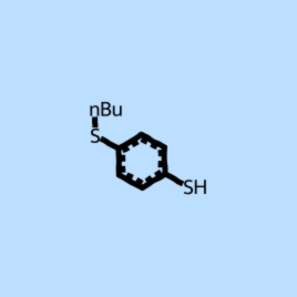 CCCCSc1ccc(S)cc1